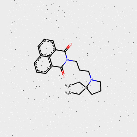 CC[Si]1(CC)CCCN1CCCN1C(=O)c2cccc3cccc(c23)C1=O